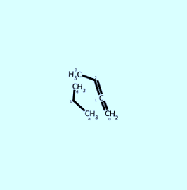 C=C=CC.CCC